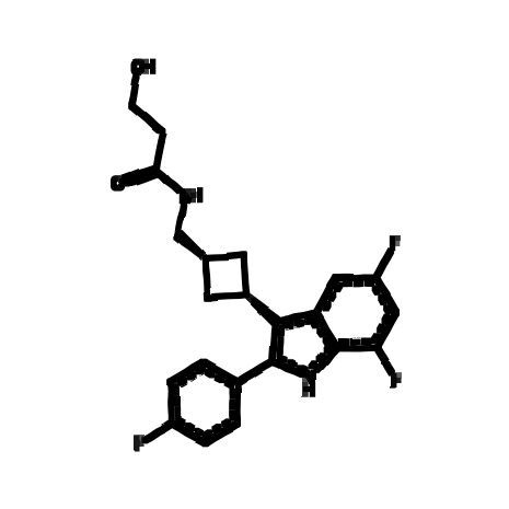 O=C(CCO)NC[C@H]1C[C@@H](c2c(-c3ccc(F)cc3)[nH]c3c(F)cc(F)cc32)C1